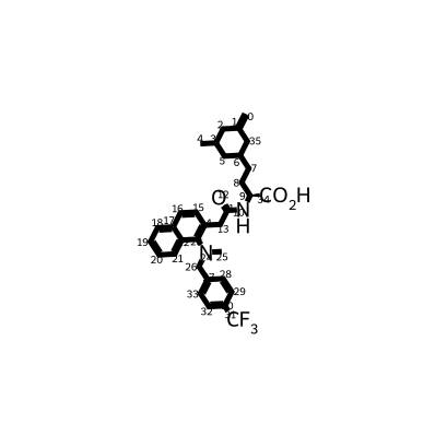 C=C1CC(C)CC(CC[C@H](NC(=O)Cc2ccc3ccccc3c2N(C)Cc2ccc(C(F)(F)F)cc2)C(=O)O)C1